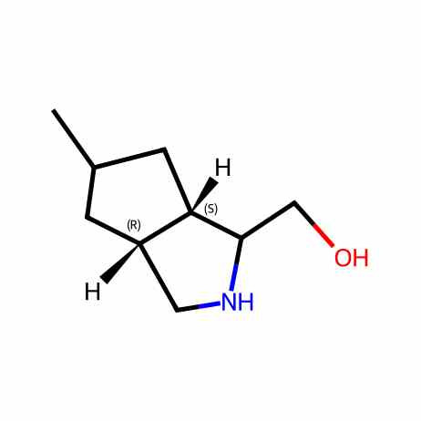 CC1C[C@H]2CNC(CO)[C@H]2C1